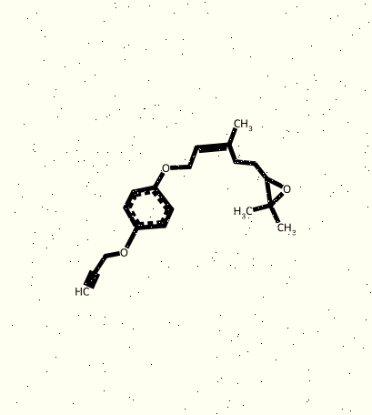 C#CCOc1ccc(OCC=C(C)CCC2OC2(C)C)cc1